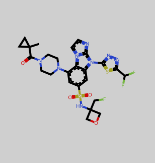 CC1(C(=O)N2CCN(c3cc(S(=O)(=O)NC4(CF)COC4)cc4c3n3ccnc3n4-c3nnc(C(F)F)s3)CC2)CC1